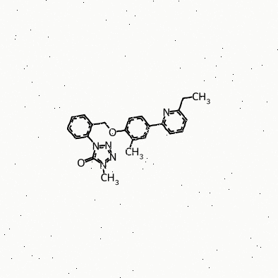 CCc1cccc(-c2ccc(OCc3ccccc3-n3nnn(C)c3=O)c(C)c2)n1